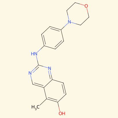 Cc1c(O)ccc2nc(Nc3ccc(N4CCOCC4)cc3)ncc12